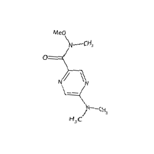 CON(C)C(=O)c1cnc(N(C)C)cn1